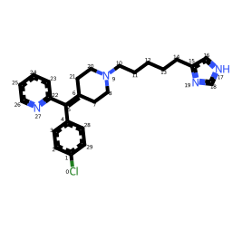 Clc1ccc(C(=C2CCN(CCCCCc3c[nH]cn3)CC2)c2ccccn2)cc1